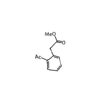 COC(=O)Cc1ccccc1C(C)=O